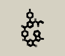 C=CC(=O)Nc1ccc(C(=O)N2CCC(Nc3ncc(Cl)c(-c4cn(C)c5ccccc45)n3)CC2)cc1N1CCN(C)CC1